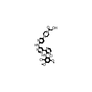 COc1cc(OC)c(Cl)c(Nc2nccnc2-c2cc(Nc3ccc(N4CCN(C(=O)CO)CC4)cn3)ncn2)c1Cl